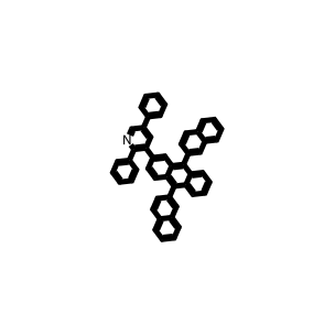 c1ccc(-c2cnc(-c3ccccc3)c(-c3ccc4c(-c5ccc6ccccc6c5)c5ccccc5c(-c5ccc6ccccc6c5)c4c3)c2)cc1